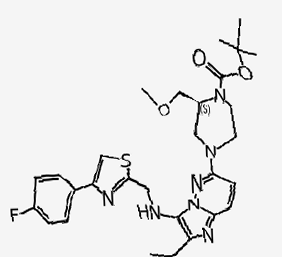 CCc1nc2ccc(N3CCN(C(=O)OC(C)(C)C)[C@H](COC)C3)nn2c1NCc1nc(-c2ccc(F)cc2)cs1